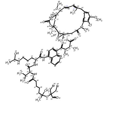 COc1cc2cc(c1Cl)N(C)C(=O)C[C@H](OC(=O)[C@H](C)N(C)C(=O)c1ccc(NC(=O)[C@H](CCCNC(N)O)NC(=O)[C@@H](NC(=O)CCCCC(C)(C)OC(C=O)(CBr)CBr)C(C)C)c3cccnc13)[C@]1(C)O[C@H]1[C@H](C)[C@@H]1C[C@@](O)(NC(=O)O1)[C@H](OC)/C=C/C=C(\C)C2